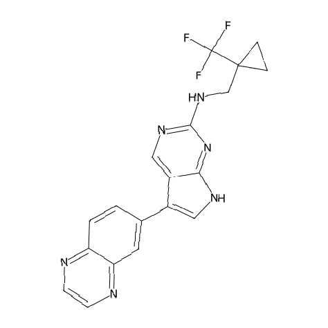 FC(F)(F)C1(CNc2ncc3c(-c4ccc5nccnc5c4)c[nH]c3n2)CC1